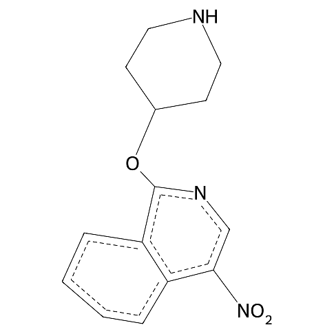 O=[N+]([O-])c1cnc(OC2CCNCC2)c2ccccc12